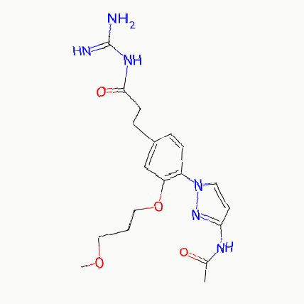 COCCCOc1cc(CCC(=O)NC(=N)N)ccc1-n1ccc(NC(C)=O)n1